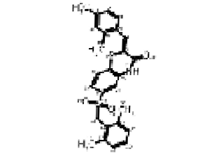 Cc1ccc(C=C2Sc3ccc(S(=O)(=O)Cc4c(C)cccc4C)cc3NC2=O)c(C)c1